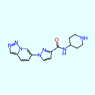 O=C(NC1CCNCC1)c1ccn(-c2ccc3cnnn3c2)n1